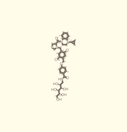 O=C(NC[C@H](O)[C@@H](O)[C@H](O)[C@H](O)CO)c1ccc(OCc2cc(Cl)c(CN3CSCC3C(=O)N3CCN(C4CC4)c4ccccc43)cc2Cl)cc1